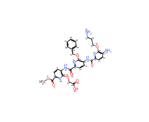 COC(=O)c1ccc(NC(=O)c2ccc(NC(=O)c3ccc(N)c(OCCCN)n3)c(OCc3ccccc3)n2)c(OCC(=O)O)n1